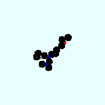 c1ccc(-c2cccc3c2oc2ccc(-c4ccc5c(ccc6cc(N(c7ccc(-c8cccc9ccccc89)cc7)c7ccc8c9ccccc9n(-c9ccccc9)c8c7)ccc65)c4)cc23)cc1